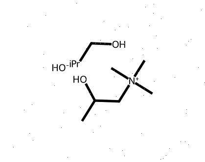 CC(C)CO.CC(O)C[N+](C)(C)C.[OH-]